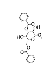 CO[C@H]1O[C@H](COC(=O)c2ccccc2)[C@H](O)[C@H](OC(=O)c2ccccc2)[C@H]1O